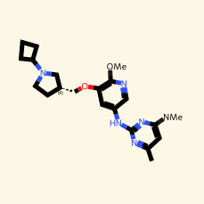 CNc1cc(C)nc(Nc2cnc(OC)c(OC[C@@H]3CCN(C4CCC4)C3)c2)n1